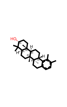 Cc1ccc2c(c1C)[C@H]1CC[C@@H]3[C@@]4(C)CC[C@@H](O)C(C)(C)[C@@H]4CC[C@@]3(C)[C@]1(C)CC2